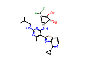 Cc1nc(NCC(C)C)nc(N[C@@H]2C[C@H](C(F)F)[C@@H](O)[C@H]2O)c1-c1nc2c(C3CC3)nccc2s1